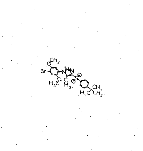 COc1cc(-n2nnc(S(=O)(=O)c3ccc(C(C)(C)C)cc3)c2C)c(OC)cc1Br